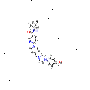 Cc1cc(N2CCN(CC3CCN(c4ccc(C(=O)NC5C(C)(C)CC5(C)C)cn4)CC3)CC2)c(F)cc1C=O